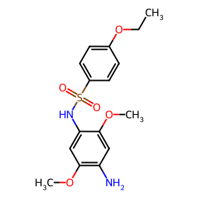 CCOc1ccc(S(=O)(=O)Nc2cc(OC)c(N)cc2OC)cc1